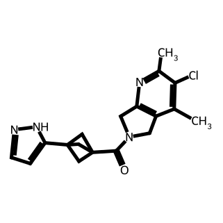 Cc1nc2c(c(C)c1Cl)CN(C(=O)C13CC(c4ccn[nH]4)(C1)C3)C2